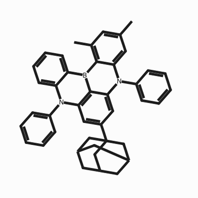 Cc1cc(C)c2c(c1)N(c1ccccc1)c1cc(C34CC5CC(CC(C5)C3)C4)cc3c1B2c1ccccc1N3c1ccccc1